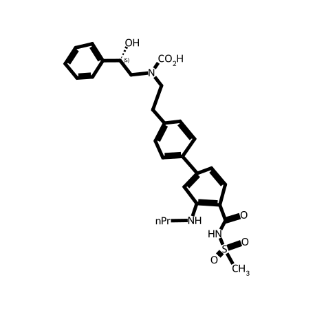 CCCNc1cc(-c2ccc(CCN(C[C@@H](O)c3ccccc3)C(=O)O)cc2)ccc1C(=O)NS(C)(=O)=O